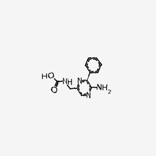 Nc1ncc(CNC(=O)O)nc1-c1ccccc1